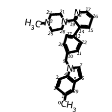 Cc1ccc2c(ccn2Cc2ccc(-c3cccnc3N3CCN(C)CC3)cc2)c1